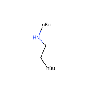 [CH2]CCCCCNCCC[CH2]